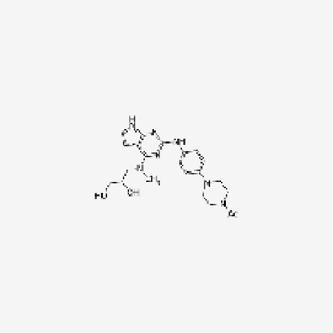 CC(=O)N1CCN(c2ccc(Nc3nc(N(C)CC(O)CO)c4cc[nH]c4n3)cc2)CC1